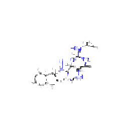 c1ccc2cc(Nc3ncnc4cnc(NC5CC5)nc34)ccc2c1